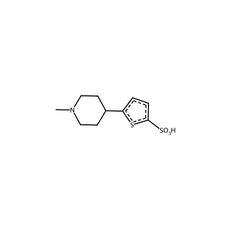 CN1CCC(c2ccc(S(=O)(=O)O)s2)CC1